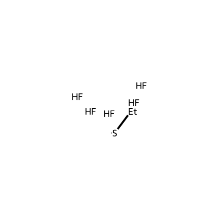 CC[S].F.F.F.F.F